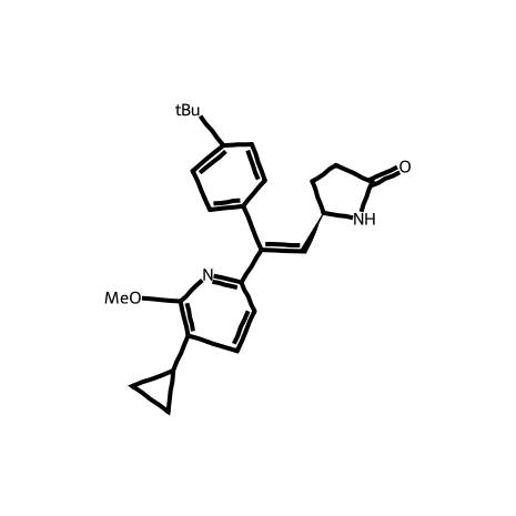 COc1nc(/C(=C/[C@H]2CCC(=O)N2)c2ccc(C(C)(C)C)cc2)ccc1C1CC1